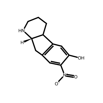 O=[N+]([O-])c1cc2c(cc1O)C1CCCN[C@H]1C2